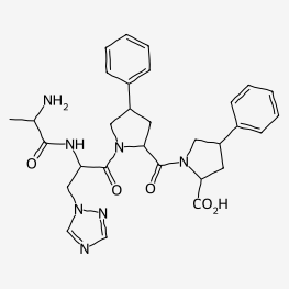 CC(N)C(=O)NC(Cn1cncn1)C(=O)N1CC(c2ccccc2)CC1C(=O)N1CC(c2ccccc2)CC1C(=O)O